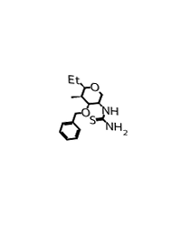 CC[C@H]1OC[C@@H](NC(N)=S)[C@@H](OCc2ccccc2)[C@H]1C